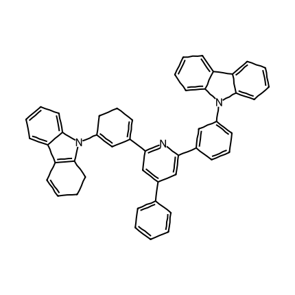 C1=Cc2c(n(C3=CC(c4cc(-c5ccccc5)cc(-c5cccc(-n6c7ccccc7c7ccccc76)c5)n4)=CCC3)c3ccccc23)CC1